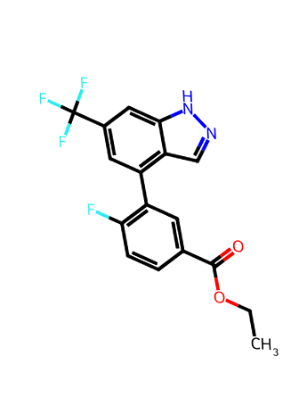 CCOC(=O)c1ccc(F)c(-c2cc(C(F)(F)F)cc3[nH]ncc23)c1